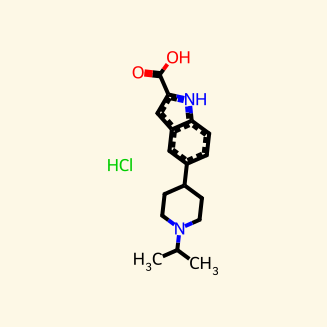 CC(C)N1CCC(c2ccc3[nH]c(C(=O)O)cc3c2)CC1.Cl